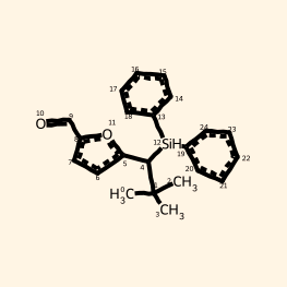 CC(C)(C)C(c1ccc(C=O)o1)[SiH](c1ccccc1)c1ccccc1